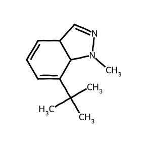 CN1N=CC2C=CC=C(C(C)(C)C)C21